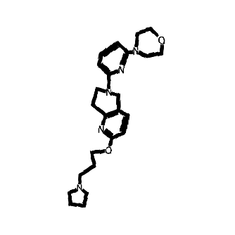 c1cc(N2CCOCC2)nc(N2CCc3nc(OCCCN4CCCC4)ccc3C2)c1